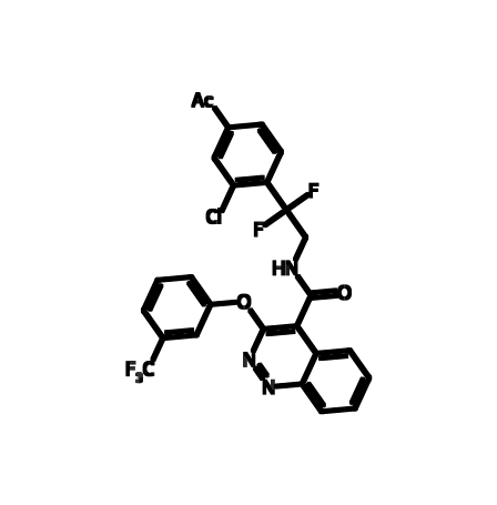 CC(=O)c1ccc(C(F)(F)CNC(=O)c2c(Oc3cccc(C(F)(F)F)c3)nnc3ccccc23)c(Cl)c1